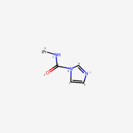 CC(C)NC(=O)n1ccnc1